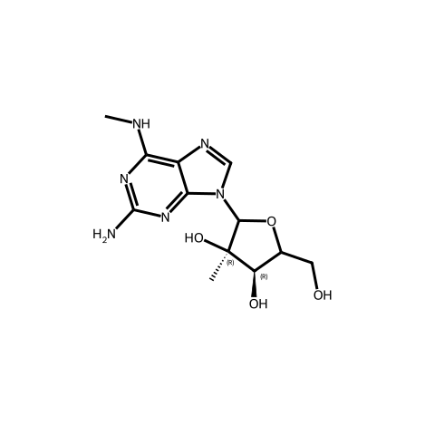 CNc1nc(N)nc2c1ncn2C1OC(CO)[C@@H](O)[C@@]1(C)O